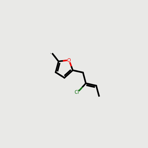 [CH2]c1ccc(CC(Cl)=CC)o1